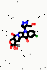 CC[C@@]1(O)C(=O)OCc2c1cc1n(c2=O)Cc2c-1c(=O)c1cc(F)ccc1n2-c1cnn(C)c1CO